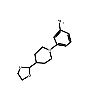 Nc1cccc(N2CCC(C3OCCO3)CC2)c1